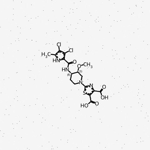 CO[C@H]1CN(c2nc(C(=O)O)c(C(=O)O)s2)CC[C@H]1NC(=O)c1[nH]c(C)c(Cl)c1Cl